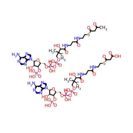 CC(=O)CC(=O)SCCNC(=O)CCNC(=O)[C@H](O)C(C)(C)COP(=O)(O)OP(=O)(O)OC[C@H]1O[C@@H](n2cnc3c(N)ncnc32)[C@H](O)[C@@H]1OP(=O)(O)O.CC(C)(COP(=O)(O)OP(=O)(O)OC[C@H]1O[C@@H](n2cnc3c(N)ncnc32)[C@H](O)[C@@H]1OP(=O)(O)O)[C@@H](O)C(=O)NCCC(=O)NCCSC(=O)CC(=O)O